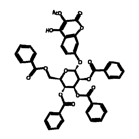 CC(=O)Oc1c(O)c2ccc(O[C@H]3O[C@H](COC(=O)c4ccccc4)[C@@H](OC(=O)c4ccccc4)[C@H](OC(=O)c4ccccc4)[C@@H]3OC(=O)c3ccccc3)cc2oc1=O